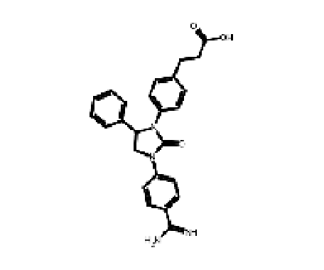 N=C(N)c1ccc(N2CC(c3ccccc3)N(c3ccc(CCC(=O)O)cc3)C2=O)cc1